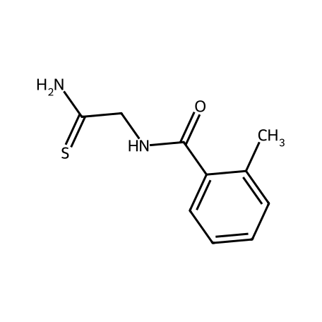 Cc1ccccc1C(=O)NCC(N)=S